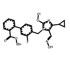 CCOc1nc(C2CC2)c(C=NO)n1Cc1ccc(-c2ccccc2C(=O)OC(C)(C)C)cc1F